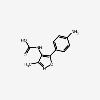 Cc1noc(-c2ccc(N)cc2)c1NC(=O)O